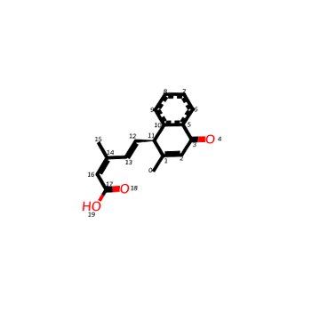 CC1=CC(=O)c2ccccc2[C@@H]1/C=C/C(C)=C\C(=O)O